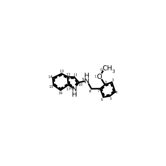 COc1ccccc1CNc1cc2ccccc2[nH]1